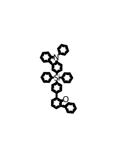 c1ccc(-n2c3ccccc3c3cc([Si](c4ccccc4)(c4ccccc4)c4ccc(-c5cccc6c5oc5ccccc56)cc4)ccc32)cc1